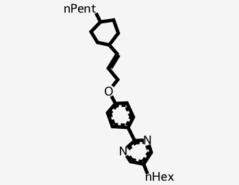 CCCCCCc1cnc(-c2ccc(OC/C=C/C3CCC(CCCCC)CC3)cc2)nc1